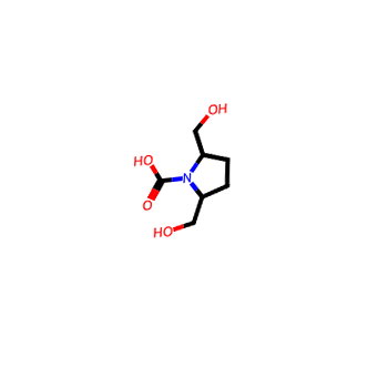 O=C(O)N1C(CO)CCC1CO